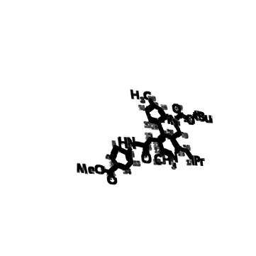 COC(=O)c1ccc(NC(=O)Cc2c(C)nc(CC(C)C)c(CNC(=O)OC(C)(C)C)c2-c2ccc(C)cc2)cc1